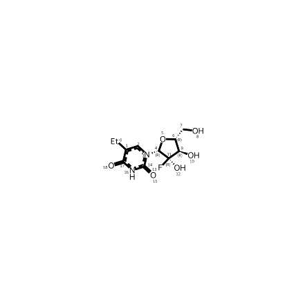 CCc1cn([C@@H]2O[C@H](CO)[C@@H](O)[C@@]2(O)F)c(=O)[nH]c1=O